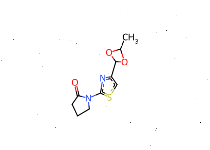 CC1OC(c2csc(N3CCCC3=O)n2)O1